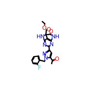 CCOC(=O)C12Nc3nc(-c4cc(C(C)=O)n(Cc5ccccc5F)n4)nc(c31)NC2=O